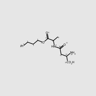 CC(C)CCCOC(=O)C(C)NC(=O)CC(N)C(=O)O